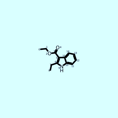 CCOC(=O)c1c(CC)[nH]c2ccccc12